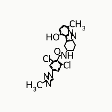 Cc1ncn(-c2cc(Cl)c(C(=O)NC3CCc4nn5c(C)ccc(O)c5c4C3)c(Cl)c2)n1